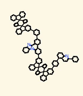 c1ccc(-c2ccc3c(-c4ccc(-c5ccc6c(c5)C5(c7ccccc7-6)c6ccccc6C6(c7ccccc7-c7cc(-c8ccc9c%10ccc(-c%11cccc(-c%12ccc%13c(c%12)-c%12ccccc%12C%13%12c%13ccccc%13C%13(c%14ccccc%14-c%14ccccc%14%13)c%13ccccc%13%12)c%11)cc%10c%10nc%11ccccc%11n%10c9c8)ccc76)c6ccccc65)cc4)cccc3n2)cc1